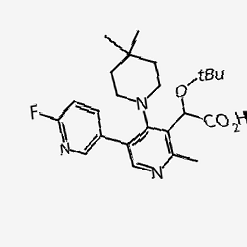 Cc1ncc(-c2ccc(F)nc2)c(N2CCC(C)(C)CC2)c1C(OC(C)(C)C)C(=O)O